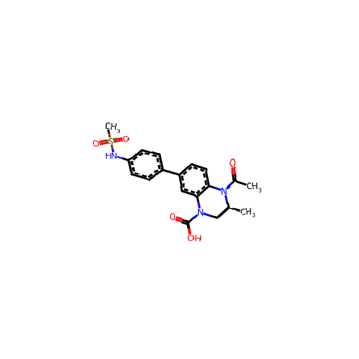 CC(=O)N1c2ccc(-c3ccc(NS(C)(=O)=O)cc3)cc2N(C(=O)O)C[C@@H]1C